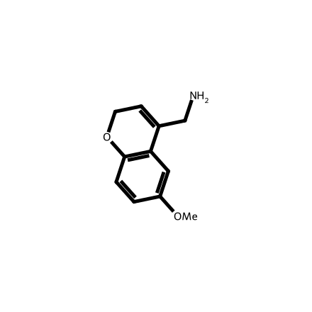 COc1ccc2c(c1)C(CN)=CCO2